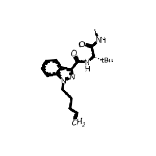 C=CCCCn1nc(C(=O)N[C@H](C(=O)NI)C(C)(C)C)c2ccccc21